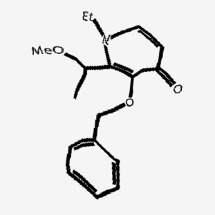 CCn1ccc(=O)c(OCc2ccccc2)c1C(C)OC